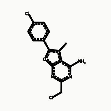 Cc1c(-c2ccc(Cl)cc2)oc2nc(CCl)nc(N)c12